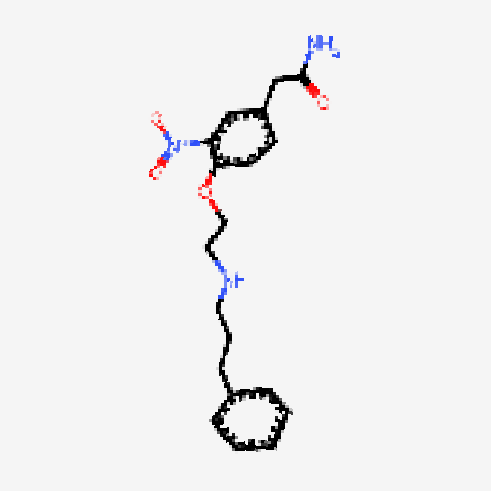 NC(=O)Cc1ccc(OCCNCCCc2ccccc2)c([N+](=O)[O-])c1